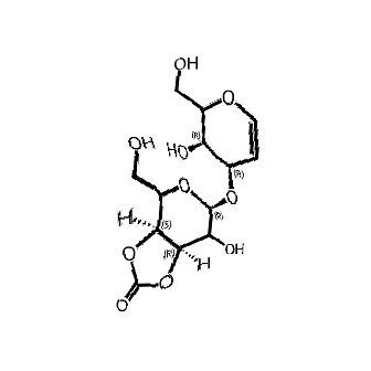 O=C1O[C@@H]2C(O)[C@H](O[C@@H]3C=COC(CO)[C@@H]3O)OC(CO)[C@@H]2O1